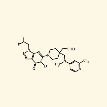 CCn1c(N2CCC(CC=O)(CN(P)c3ccnc(C(F)(F)F)c3)CC2)nc2c(cnn2CC(F)F)c1=O